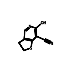 N#Cc1c(O)ncc2c1SCC2